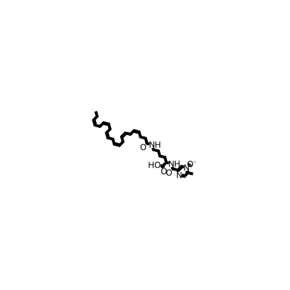 CC/C=C\C/C=C\C/C=C\C/C=C\C/C=C\C/C=C\CCC(=O)NCCCCC(NC(=O)c1c[n+]([O-])c(C)cn1)C(=O)O